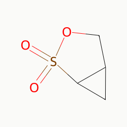 O=S1(=O)OCC2CC21